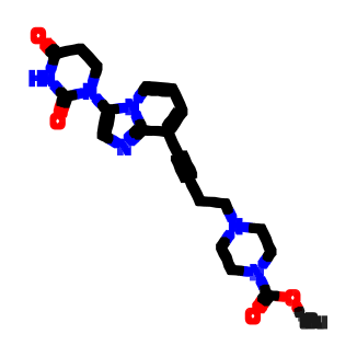 CC(C)(C)OC(=O)N1CCN(CCC#Cc2cccn3c(N4CCC(=O)NC4=O)cnc23)CC1